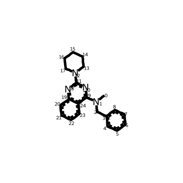 CN(Cc1ccccc1)c1nc(N2CCCCC2)nc2ccccc12